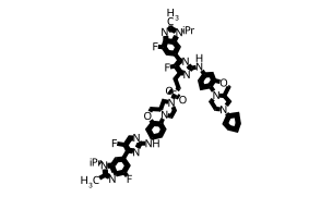 Cc1nc2c(F)cc(-c3nc(Nc4ccc5c(c4)OCC4CN(S(=O)(=O)CCc6nc(Nc7ccc8c(c7)OCC7CN(c9ccccc9)CCN87)nc(-c7cc(F)c8nc(C)n(C(C)C)c8c7)c6F)CCN54)ncc3F)cc2n1C(C)C